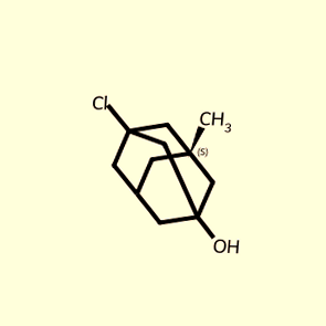 C[C@@]12CC3CC(O)(CC(Cl)(C3)C1)C2